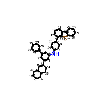 C1=C(c2cc(Nc3ccc(-c4cccc5c4sc4ccccc45)cc3)cc(-c3ccccc3)c2)CCc2ccccc21